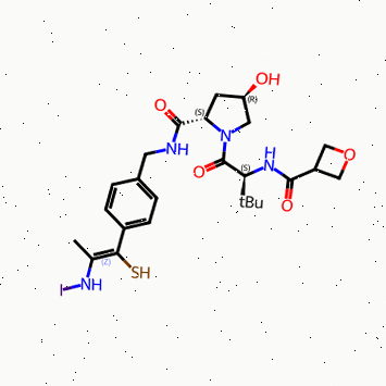 C/C(NI)=C(/S)c1ccc(CNC(=O)[C@@H]2C[C@@H](O)CN2C(=O)[C@@H](NC(=O)C2COC2)C(C)(C)C)cc1